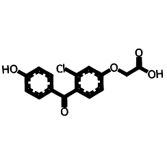 O=C(O)COc1ccc(C(=O)c2ccc(O)cc2)c(Cl)c1